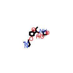 Cc1oc2ccc(OCc3ccnn3C)cc2c1C(=O)N[C@@H]1COC[C@H]1O